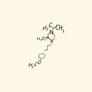 CO[C@H]1CC[C@H](CCCCN2CCN(C(C)C)C[C@@H]2C)CC1